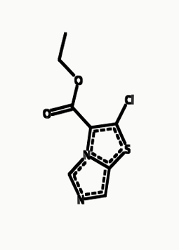 CCOC(=O)c1c(Cl)sc2cncn12